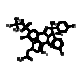 CCOc1cc(Cl)c(S(=O)(=O)NC(C)(C)C)cc1C1=N[C@@](C)(C2C=CC(Cl)=CC2)[C@@](C)(c2ccc(Cl)cc2)N1C(=O)N1CCN(CC(N)=O)CC1